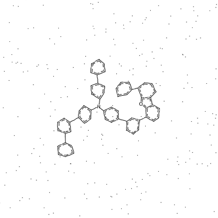 c1ccc(-c2ccc(N(c3ccc(-c4cccc(-c5ccccc5)c4)cc3)c3ccc(-c4cccc(-c5cccc6c5oc5c(-c7ccccc7)cccc56)c4)cc3)cc2)cc1